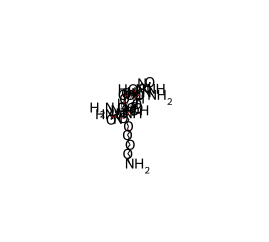 NCCOCCOCCOCCOCCC(=O)NC1[C@H]2OP(=O)(O)OC[C@H]3O[C@@H](n4cnc5c(=O)[nH]c(N)nc54)[C@@H](O)[C@H]3OP(=O)(O)OC[C@H]2O[C@H]1n1cnc2c(=O)[nH]c(N)nc21